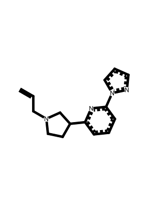 C=CCN1CCC(c2cccc(-n3cccn3)n2)C1